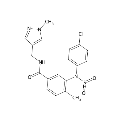 Cc1ccc(C(=O)NCc2cnn(C)c2)cc1N(c1ccc(Cl)cc1)[SH](=O)=O